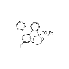 CCOC(=O)C1(c2ccccc2-c2ccc(F)cc2)COCCO1.[c]1ccccc1